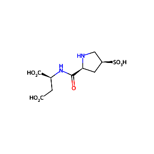 O=C(O)C[C@H](NC(=O)[C@@H]1C[C@H](S(=O)(=O)O)CN1)C(=O)O